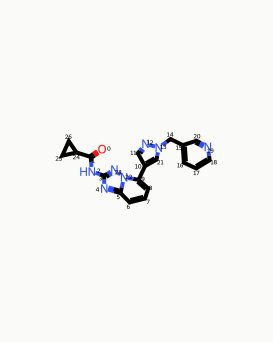 O=C(Nc1nc2cccc(-c3cnn(Cc4cccnc4)c3)n2n1)C1CC1